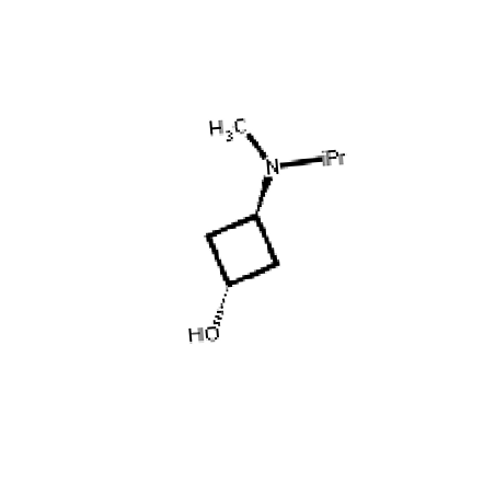 CC(C)N(C)[C@H]1C[C@H](O)C1